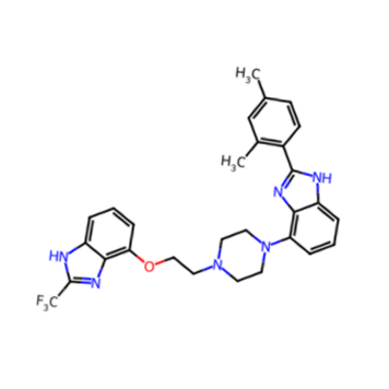 Cc1ccc(-c2nc3c(N4CCN(CCOc5cccc6[nH]c(C(F)(F)F)nc56)CC4)cccc3[nH]2)c(C)c1